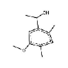 COc1cc(C(C)O)c(C)cc1C